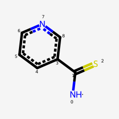 [NH]C(=S)c1cccnc1